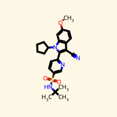 COc1ccc2c(C#N)c(-c3ccc(S(=O)(=O)NC(C)(C)C)cn3)n(C3CCCC3)c2c1